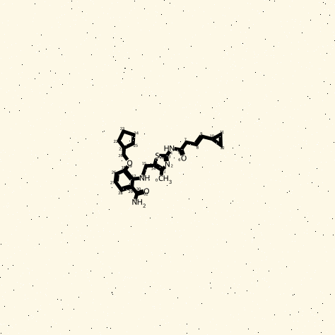 Cc1nc(NC(=O)CC=CC2CC2)sc1CNc1c(OCC2CCCC2)cccc1C(N)=O